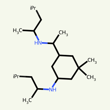 CC(C)CC(C)NC1CC(C(C)NC(C)CC(C)C)CC(C)(C)C1